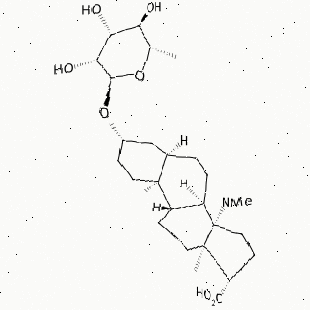 CN[C@]12CC[C@H](C(=O)O)[C@@]1(C)CC[C@H]1[C@H]2CC[C@@H]2C[C@@H](O[C@@H]3O[C@@H](C)[C@H](O)[C@@H](O)[C@H]3O)CC[C@@]21C